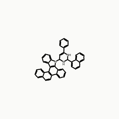 C1=C(c2ccccc2)NC(c2cccc3ccccc23)NC1n1c2ccccc2c2c3c4ccccc4ccc3c3ccccc3c21